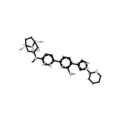 CNc1nc(-c2ccc(N(C)C3C[C@H]4CC[C@@H](C3)N4C(=O)O)nn2)ccc1-c1cnn(C2CCCCO2)c1